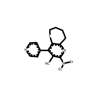 CCN(CC)c1nc2c(c(-c3ccncc3)c1C#N)CCCCC2